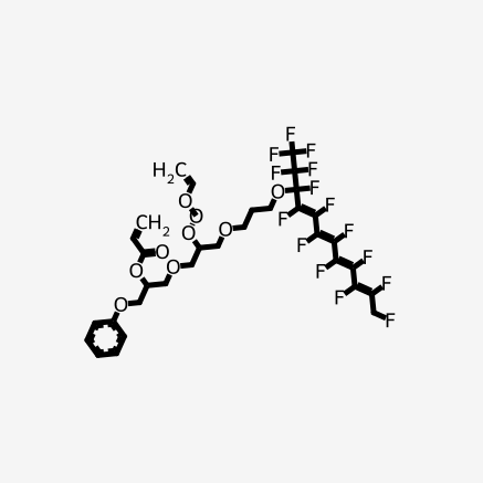 C=COOOC(COCCCOC(F)(/C(F)=C(F)/C(F)=C(F)/C(F)=C(F)/C(F)=C(\F)CF)C(F)(F)C(F)(F)F)COCC(COc1ccccc1)OC(=O)C=C